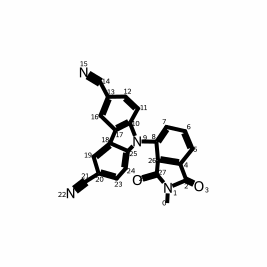 CN1C(=O)c2cccc(-n3c4ccc(C#N)cc4c4cc(C#N)ccc43)c2C1=O